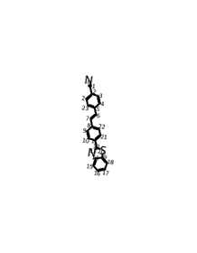 N#Cc1ccc(/C=C/c2ccc(-c3nc4ccccc4s3)cc2)cc1